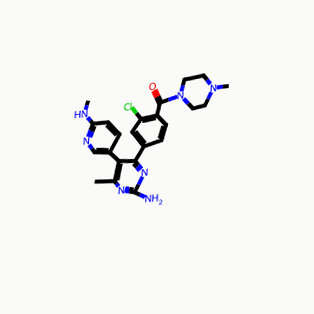 CNc1ccc(-c2c(C)nc(N)nc2-c2ccc(C(=O)N3CCN(C)CC3)c(Cl)c2)cn1